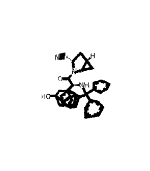 N#C[C@@H]1C[C@@H]2CC2N1C(=O)[C@@H](NC(c1ccccc1)(c1ccccc1)c1ccccc1)C12CC3CC1CC(O)(C3)C2